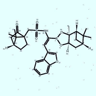 CC1(C)[C@@H]2C[C@H]3OB(/C(=C\c4coc5ccccc45)NS(=O)(=O)CC45CC[C@H](CC4=O)C5(C)C)O[C@@]3(C)[C@H]1C2